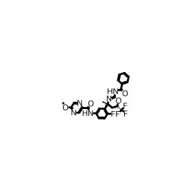 COc1cnc(C(=O)Nc2ccc(F)c([C@@]3(C)C[C@@H](C(F)(F)F)OC(NC(=O)c4ccccc4)=N3)c2)cn1